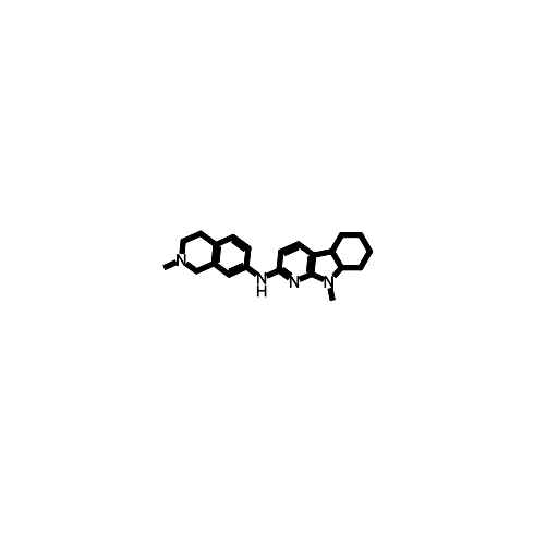 CN1CCc2ccc(Nc3ccc4c(n3)N(C)C3CCCCC43)cc2C1